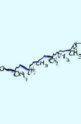 C/C(=C\CC/C(C)=C/CC/C(C)=C/CC/C(C)=C/CC/C(C)=C/CC/C(C)=C/CO)CO